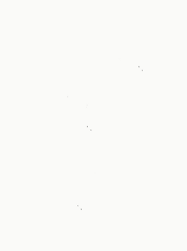 NCC1CCN(C(=O)c2ccncc2)CC1